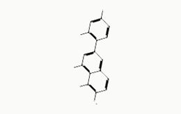 O=C(O)c1ccc(-c2cc(F)c3c(F)c(O)ccc3c2)c(F)c1